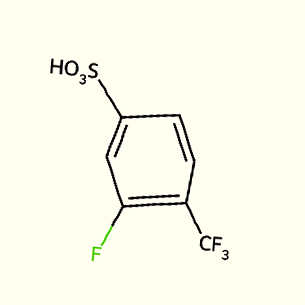 O=S(=O)(O)c1ccc(C(F)(F)F)c(F)c1